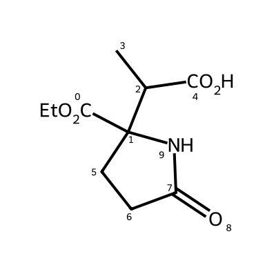 CCOC(=O)C1(C(C)C(=O)O)CCC(=O)N1